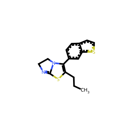 CCCC1=C(c2ccc3ccsc3c2)N2CCN=C2S1